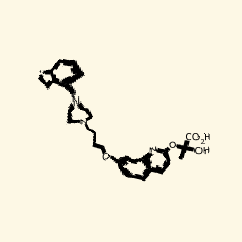 CC(O)(Oc1ccc2ccc(OCCCCN3CCN(c4cccc5sccc45)CC3)cc2n1)C(=O)O